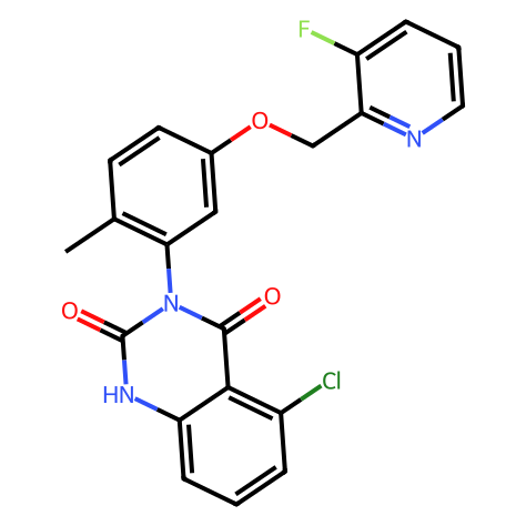 Cc1ccc(OCc2ncccc2F)cc1-n1c(=O)[nH]c2cccc(Cl)c2c1=O